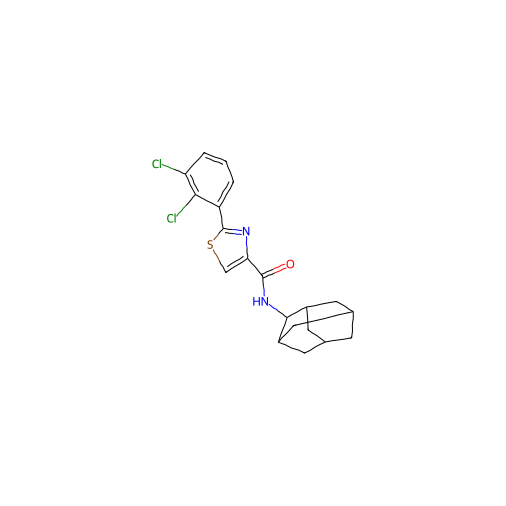 O=C(NC1C2CC3CC(C2)CC1C3)c1csc(-c2cccc(Cl)c2Cl)n1